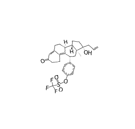 C=CC[C@]1(O)CC[C@H]2[C@@H]3CCC4=CC(=O)CCC4=C3[C@@H](c3ccc(OS(=O)(=O)C(F)(F)F)cc3)C[C@@]21C